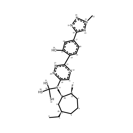 CC[C@@H]1CCC[C@H](F)[C@H](N(c2cnc(-c3ccc(-c4nnn(C)n4)cc3O)nn2)C(S)(S)S)C1